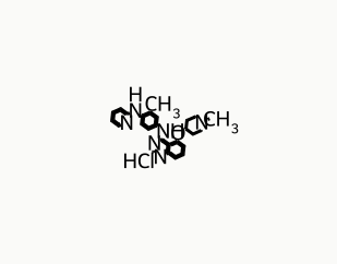 Cc1cc(Nc2ncnc3cccc(OC4CCN(C)CC4)c23)ccc1Nc1ccccn1.Cl